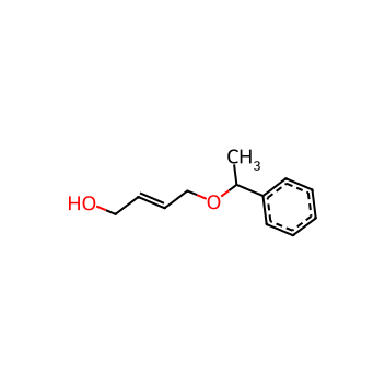 CC(OCC=CCO)c1ccccc1